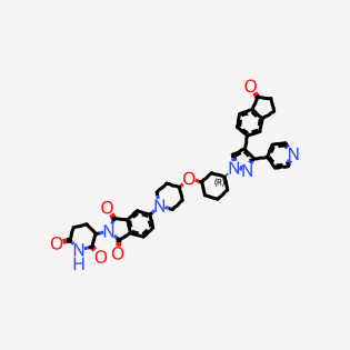 O=C1CCC(N2C(=O)c3ccc(N4CCC(OC5CCC[C@@H](n6cc(-c7ccc8c(c7)CCC8=O)c(-c7ccncc7)n6)C5)CC4)cc3C2=O)C(=O)N1